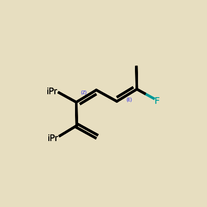 C=C(/C(=C\C=C(/C)F)C(C)C)C(C)C